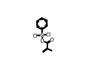 C=C(C)C(=O)O[Si](Cl)(Cl)c1ccccc1